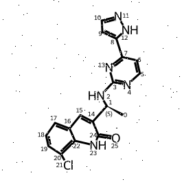 C[C@H](Nc1nccc(-c2ccn[nH]2)n1)c1cc2cccc(Cl)c2[nH]c1=O